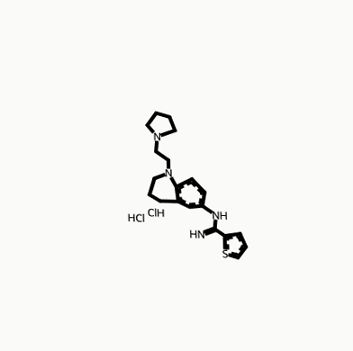 Cl.Cl.N=C(Nc1ccc2c(c1)CCCN2CCN1CCCC1)c1cccs1